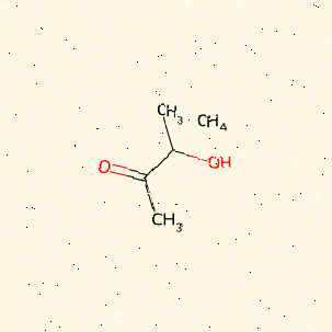 C.CC(=O)C(C)O